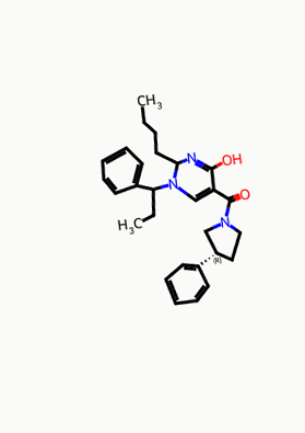 CCCCC1N=C(O)C(C(=O)N2CC[C@H](c3ccccc3)C2)=CN1C(CC)c1ccccc1